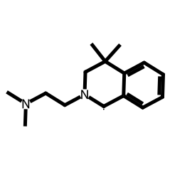 CN(C)CCN1[CH]c2ccccc2C(C)(C)C1